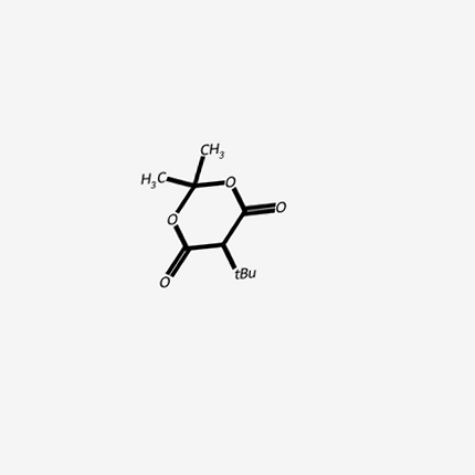 CC1(C)OC(=O)C(C(C)(C)C)C(=O)O1